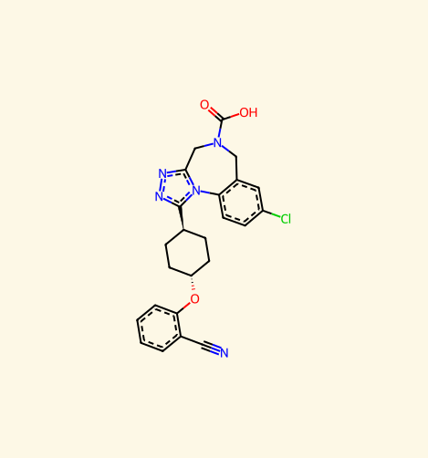 N#Cc1ccccc1O[C@H]1CC[C@H](c2nnc3n2-c2ccc(Cl)cc2CN(C(=O)O)C3)CC1